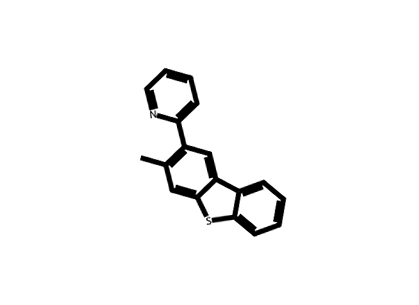 Cc1cc2sc3ccccc3c2cc1-c1ccccn1